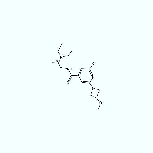 CCN(CC)[C@@H](C)CNC(=O)c1cc(Cl)nc(C2CC(OC)C2)c1